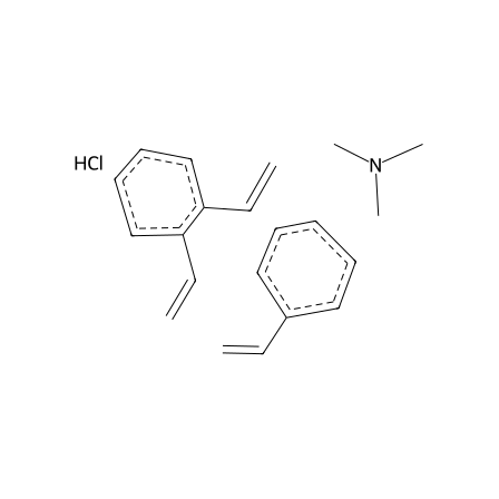 C=Cc1ccccc1.C=Cc1ccccc1C=C.CN(C)C.Cl